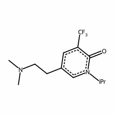 CC(C)n1cc(CCN(C)C)cc(C(F)(F)F)c1=O